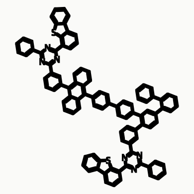 c1ccc(-c2nc(-c3cccc(-c4ccc(-c5ccccc5-c5ccccc5)cc4-c4ccc(-c5ccc(-c6c7ccccc7c(-c7cccc(-c8nc(-c9ccccc9)nc(-c9cccc%10c9sc9ccccc9%10)n8)c7)c7ccccc67)cc5)cc4)c3)nc(-c3cccc4c3sc3ccccc34)n2)cc1